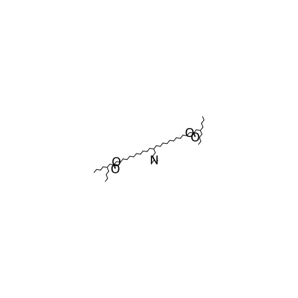 CCCCC(CCCC)CC(=O)OCCCCCCCCCCC(CCCCCCCCCCOC(=O)CC(CCCC)CCCC)CCN(C)C